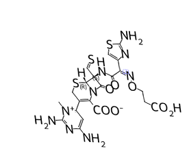 C[n+]1c(C2=C(C(=O)[O-])N3C(=O)[C@](C=S)(NC(=O)/C(=N\OCCC(=O)O)c4csc(N)n4)[C@H]3SC2)cc(N)nc1N